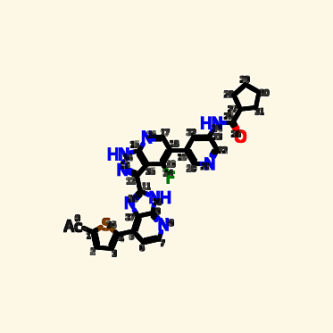 CC(=O)c1ccc(-c2ccnc3[nH]c(-c4n[nH]c5ncc(-c6cncc(NC(=O)C7CCCC7)c6)c(F)c45)nc23)s1